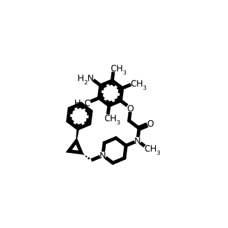 Cc1c(C)c(OCC(=O)N(C)C2CCN(C[C@@H]3C[C@H]3c3ccccc3)CC2)c(C)c(C)c1N